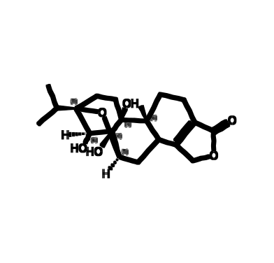 CC(C)[C@]12CC[C@@]3(O)[C@@](O)([C@H]1O)[C@@H](CC1C4=C(CC[C@]13C)C(=O)OC4)O2